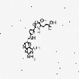 Nc1nc(O)c2nc(CNc3ccc(C(=O)NC(CCC(=O)O)C(=O)O)s3)cnc2n1